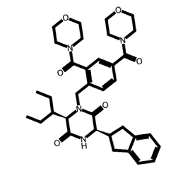 CCC(CC)[C@@H]1C(=O)N[C@H](C2Cc3ccccc3C2)C(=O)N1Cc1ccc(C(=O)N2CCOCC2)cc1C(=O)N1CCOCC1